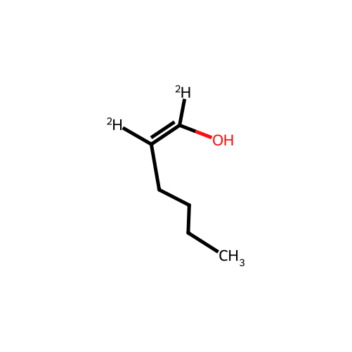 [2H]C(O)=C([2H])CCCC